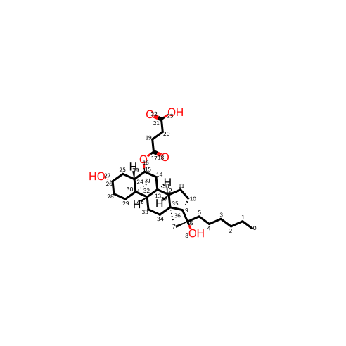 CCCCCC[C@](C)(O)[C@H]1CC[C@H]2[C@@H]3C[C@H](OC(=O)CCC(=O)O)[C@H]4C[C@@H](O)CC[C@]4(C)[C@H]3CC[C@@]21C